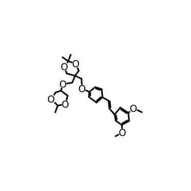 COc1cc(/C=C/c2ccc(OCC3(COC4COC(C)OC4)COC(C)(C)OC3)cc2)cc(OC)c1